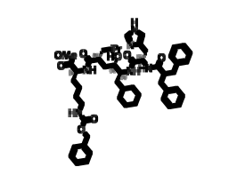 COC(=O)[C@H](CCCCNC(=O)OCc1ccccc1)NC(=O)[C@H](CC(C)C)C[C@H](O)[C@H](CC1CCCCC1)NC(=O)[C@H](Cc1c[nH]cn1)NC(=O)C(Cc1ccccc1)Cc1ccccc1